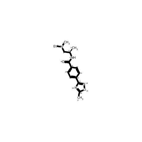 CCN(C)C[C@@H](C)NC(=O)c1ccc(-c2noc(C)n2)cc1